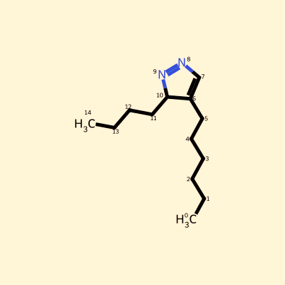 CCCCCCC1=CN=NC1CCCC